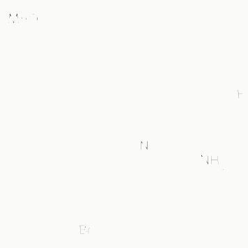 COc1ccc(C2(c3cccc(Br)c3)N=C(N)c3c(F)cccc32)cc1